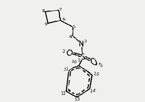 O=S(=O)([N]CCC1CCC1)c1ccccc1